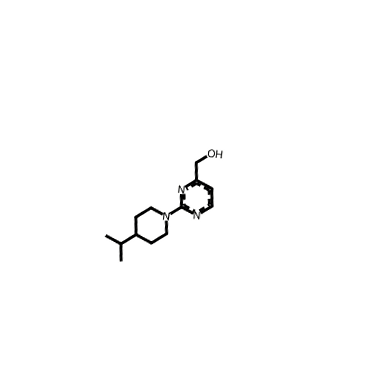 CC(C)C1CCN(c2nccc(CO)n2)CC1